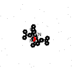 N#Cc1cc(-n2c3ccc(-n4c5ccccc5c5ccccc54)cc3c3ccc4c5ccccc5n(-c5ccccc5)c4c32)c(C#N)cc1-n1c2c(c3cc(N(c4ccccc4)c4ccccc4)ccc31)C1=CC(C=C2)c2ccccc2O1